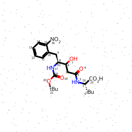 CCC(C)[C@H](NC(=O)CC(O)[C@H](Cc1ccccc1[N+](=O)[O-])NC(=O)OC(C)(C)C)C(=O)O